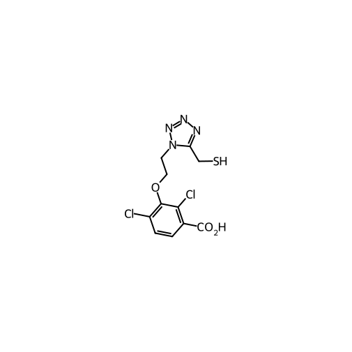 O=C(O)c1ccc(Cl)c(OCCn2nnnc2CS)c1Cl